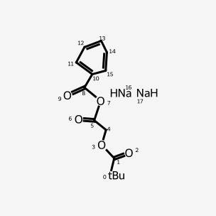 CC(C)(C)C(=O)OCC(=O)OC(=O)c1ccccc1.[NaH].[NaH]